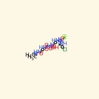 CCN(CC)CCNC(=O)c1ccc(NC(=O)C(=O)NC/C(=N/C(=O)c2ccc(Nc3nc(NC4(c5ccc(Cl)cc5)CC4)nc(OCC(F)(F)F)n3)cc2)C(=O)O)cc1